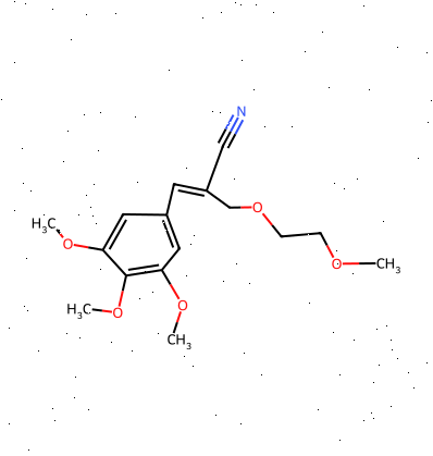 COCCOCC(C#N)=Cc1cc(OC)c(OC)c(OC)c1